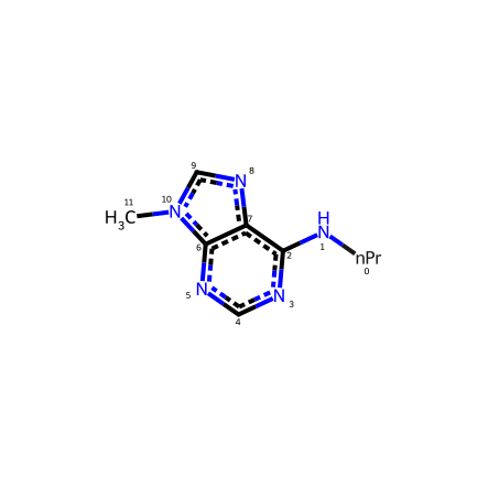 CCCNc1ncnc2c1ncn2C